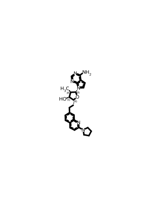 C[C@@H]1[C@H](O)[C@@H](CCc2ccc3ccc(N4CCCC4)nc3c2)O[C@H]1n1ccc2c(N)ncnc21